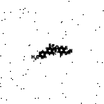 Cc1ccc(-c2cc(F)c(C(F)(F)Oc3cc(F)c(SC#N)c(F)c3)c(F)c2)cc1